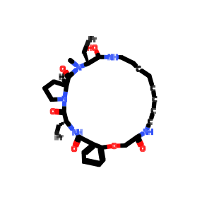 CC(C)C[C@H]1NC(=O)c2ccccc2OCC(=O)NCCCCCCCCNC(O)[C@H](CC(C)C)N(C)C(=O)[C@H]2CCCN2C1=O